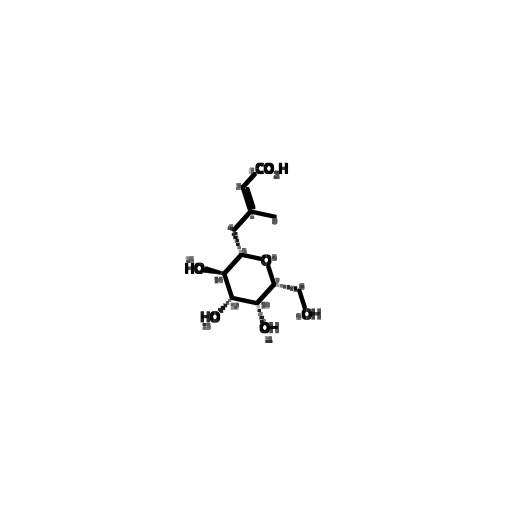 C/C(=C\C(=O)O)C[C@@H]1O[C@H](CO)[C@H](O)[C@H](O)[C@H]1O